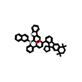 CC1(C)CCC(C)(C)c2cc3c(cc21)-c1cccc(-c2ccc(-c4ccccc4N(c4ccc5ccccc5c4)c4cccc5c4sc4ccccc45)cc2)c1C31CCCC1